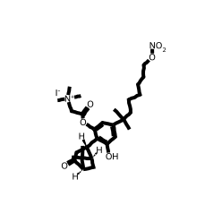 CC(C)(CCCCCCO[N+](=O)[O-])c1cc(O)c([C@H]2CC(=O)[C@@H]3C[C@H]2C3(C)C)c(OC(=O)C[N+](C)(C)C)c1.[I-]